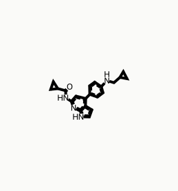 O=C(Nc1cc(-c2ccc(NCC3CC3)cc2)c2cc[nH]c2n1)C1CC1